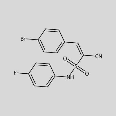 N#CC(=Cc1ccc(Br)cc1)S(=O)(=O)Nc1ccc(F)cc1